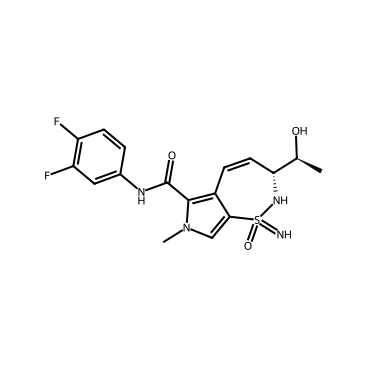 C[C@H](O)[C@H]1C=Cc2c(cn(C)c2C(=O)Nc2ccc(F)c(F)c2)S(=N)(=O)N1